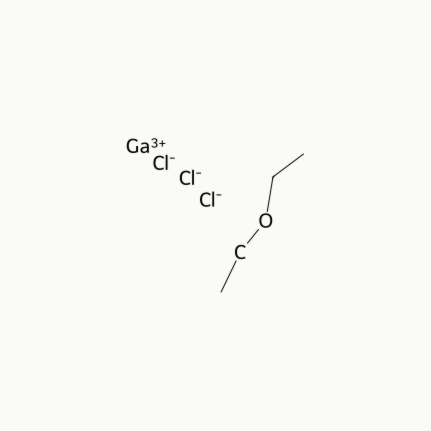 CCOCC.[Cl-].[Cl-].[Cl-].[Ga+3]